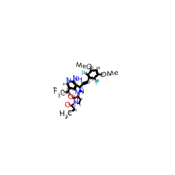 C=CC(=O)N1CCC(n2nc(C#Cc3c(F)c(OC)cc(OC)c3F)c3c(N)ncc([C@@H](O)C(F)(F)F)c32)C1